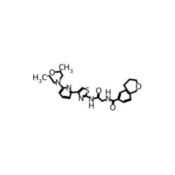 C[C@@H]1CN(c2cccc(-c3csc(NC(=O)CNC(=O)c4ccc5c(c4)CCCOC5)n3)n2)C[C@H](C)O1